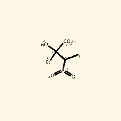 CCC(O)(C(=O)O)C(C)P(=O)=O